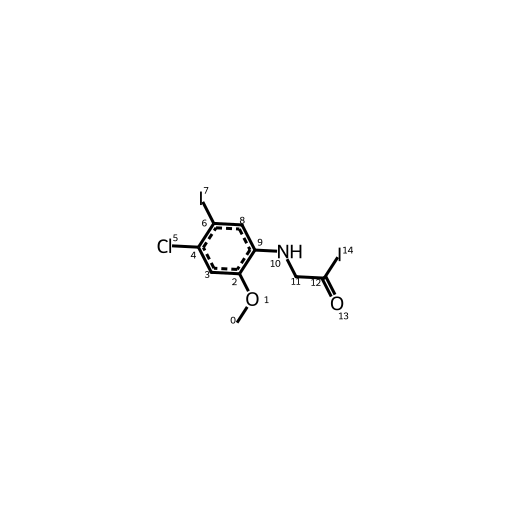 COc1cc(Cl)c(I)cc1NCC(=O)I